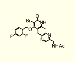 CC(=O)NCc1cnc(Cc2c(C)[nH]c(=O)c(Br)c2OCc2ccc(F)cc2F)cn1